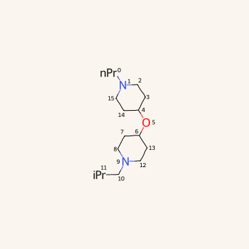 CCCN1CCC(OC2CCN(CC(C)C)CC2)CC1